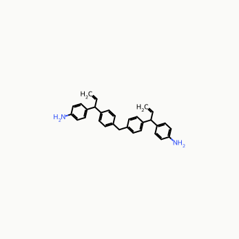 C=CC(c1ccc(N)cc1)c1ccc(Cc2ccc(C(C=C)c3ccc(N)cc3)cc2)cc1